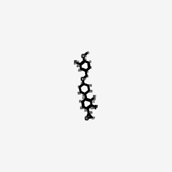 COc1ccc(COC2CCC(c3ccc(C4CO4)c(F)c3F)CC2)cc1F